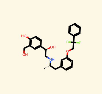 C[C@@H](Cc1cccc(OCC(F)(F)c2ccccc2)c1)NC[C@H](O)c1ccc(O)c(CO)c1